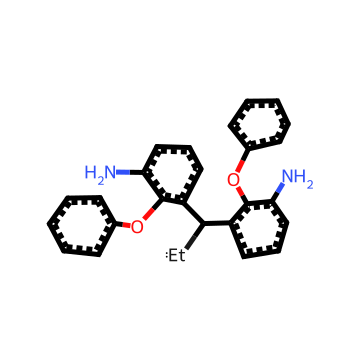 C[C]C(c1cccc(N)c1Oc1ccccc1)c1cccc(N)c1Oc1ccccc1